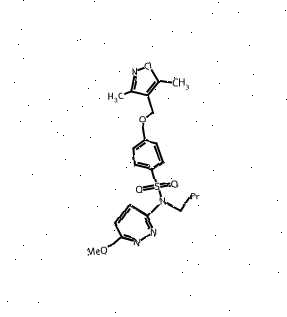 COc1ccc(N(CC(C)C)S(=O)(=O)c2ccc(OCc3c(C)noc3C)cc2)nn1